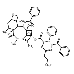 CC(=O)O[C@H]1C(=O)[C@@]2(C)C([C@H](OC(=O)c3ccccc3)[C@]3(O)C[C@@]4(OC(=O)[C@H](OC(=O)CCC(=O)O)[C@@H](NC(=O)c5ccccc5)c5ccccc5)C(C)=C1[C@]34C)[C@]1(OC(C)=O)COC1C[C@@H]2O